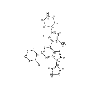 Cc1c(-c2cc(N3CCOCC3C)nc3c2cnn3-c2cc[nH]n2)c(C(F)(F)F)nn1C1CCNCC1